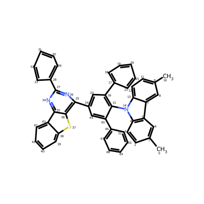 Cc1ccc2c(c1)c1cc(C)ccc1n2-c1c(-c2ccccc2)cc(-c2nc(-c3ccccc3)nc3c2sc2ccccc23)cc1-c1ccccc1